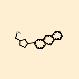 [CH2]CC1C[CH]C(c2ccc3cc4ccccc4cc3c2)C1